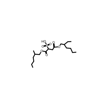 CCCCC(C)COC(=O)C(CC(=O)OCC(CC)CCCC)S(=O)(=O)O